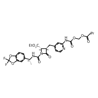 CCOC(=O)[C@@H]1[C@@H](Cc2ccnc(NC(=O)OCOC(=O)C(C)C)c2)C(=O)N1C(=O)N[C@H](C)c1ccc2c(c1)OC(F)(F)O2